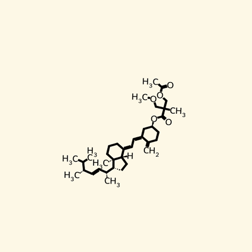 C=C1CC[C@H](OC(=O)C(C)(COC)COC(C)=O)C/C1=C/C=C1\CCC[C@]2(C)[C@@H]([C@H](C)/C=C/[C@H](C)C(C)C)CC[C@@H]12